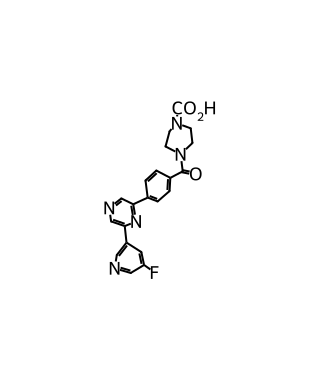 O=C(O)N1CCN(C(=O)c2ccc(-c3cncc(-c4cncc(F)c4)n3)cc2)CC1